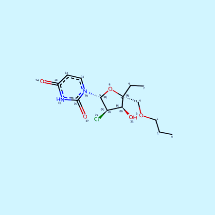 CCCOC[C@@]1(CC)O[C@@H](n2ccc(=O)[nH]c2=O)[C@H](Cl)[C@@H]1O